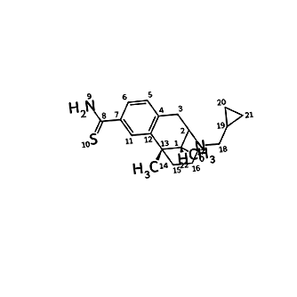 C[C@H]1C2Cc3ccc(C(N)=S)cc3[C@@]1(C)CCN2CC1CC1